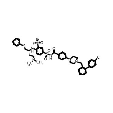 CN(C)CC[C@H](CSc1ccccc1)Nc1ccc(S(=O)(=O)NC(=O)c2ccc(N3CCN(Cc4ccccc4-c4ccc(Cl)cc4)CC3)cc2)cc1S(=O)(=O)F